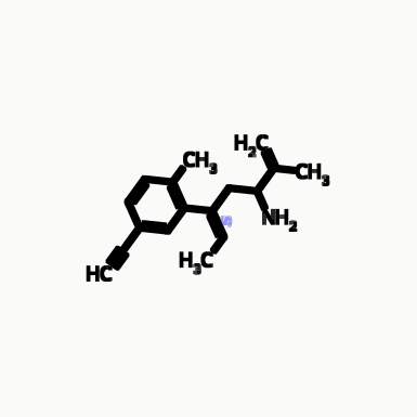 C#Cc1ccc(C)c(/C(=C\C)CC(N)C(=C)C)c1